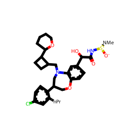 CCCc1cc(Cl)ccc1C1COc2ccc(C(O)C(=O)N[S+]([O-])NC)cc2N(CC2CCC2C2CCCCO2)C1